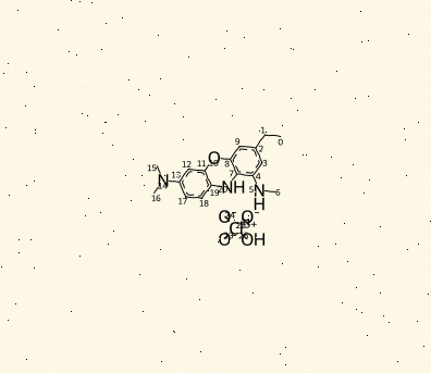 CCc1cc(NC)c2c(c1)Oc1cc(N(C)C)ccc1N2.[O-][Cl+3]([O-])([O-])O